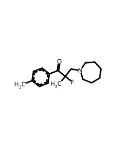 Cc1ccc(C(=O)C(C)(F)CN2CCCCCC2)cc1